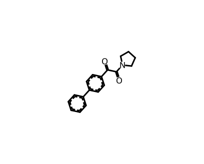 O=C(C(=O)N1CCCC1)c1ccc(-c2ccccc2)cc1